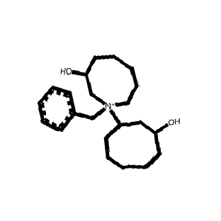 OC1CCCCCC([N+]2(Cc3ccccc3)CCCCCC(O)C2)C1